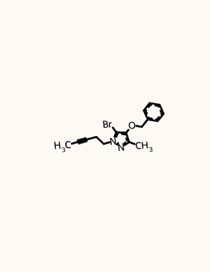 CC#CCCn1nc(C)c(OCc2ccccc2)c1Br